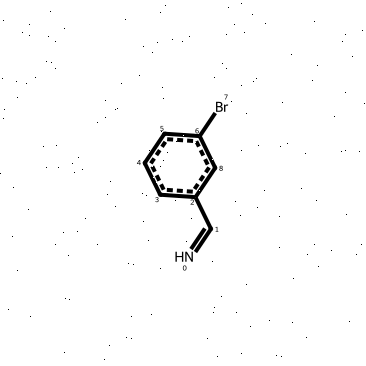 N=Cc1cccc(Br)c1